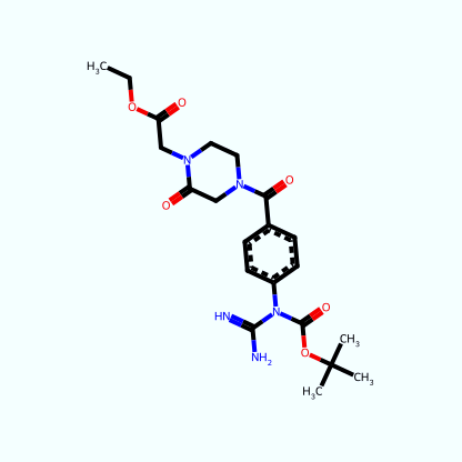 CCOC(=O)CN1CCN(C(=O)c2ccc(N(C(=N)N)C(=O)OC(C)(C)C)cc2)CC1=O